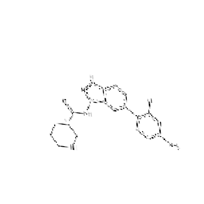 Nc1ccc(-c2ccc3[nH]nc(NC(=O)[C@H]4CCCNC4)c3c2)c(Cl)c1